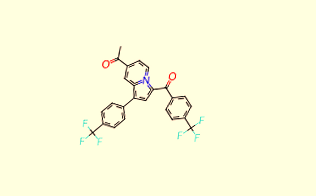 CC(=O)c1ccn2c(C(=O)c3ccc(C(F)(F)F)cc3)cc(-c3ccc(C(F)(F)F)cc3)c2c1